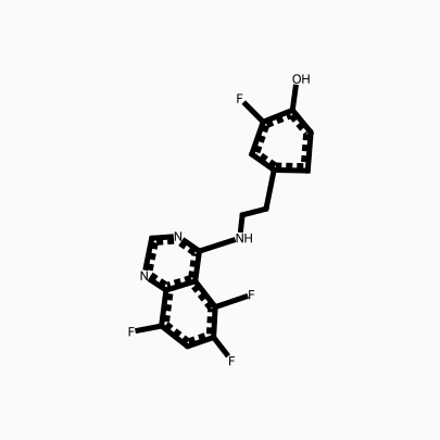 Oc1ccc(CCNc2ncnc3c(F)cc(F)c(F)c23)cc1F